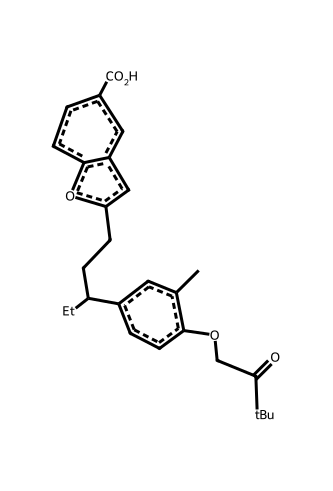 CCC(CCc1cc2cc(C(=O)O)ccc2o1)c1ccc(OCC(=O)C(C)(C)C)c(C)c1